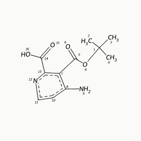 CC(C)(C)OC(=O)c1c(N)ccnc1C(=O)O